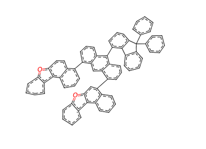 c1ccc(C2(c3ccccc3)c3ccccc3-c3c(-c4c5cccc(-c6cccc7c6ccc6oc8ccccc8c67)c5cc5c(-c6cc7oc8ccccc8c7c7ccccc67)cccc45)cccc32)cc1